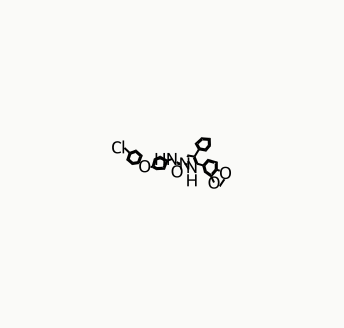 O=C(Nc1ccc(Oc2ccc(Cl)cc2)cc1)N1CC(c2ccccc2)=C(c2ccc3c(c2)OCCO3)N1